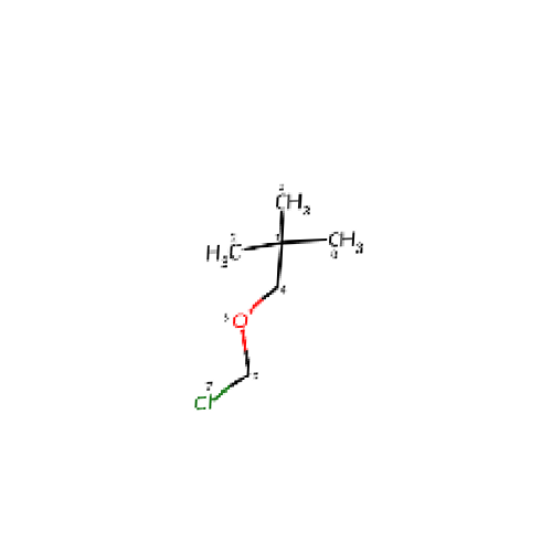 CC(C)(C)COCCl